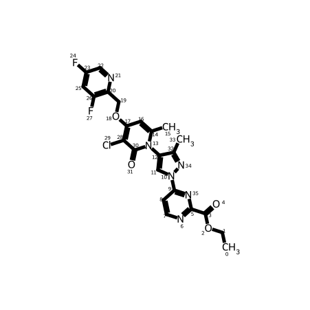 CCOC(=O)c1nccc(-n2cc(-n3c(C)cc(OCc4ncc(F)cc4F)c(Cl)c3=O)c(C)n2)n1